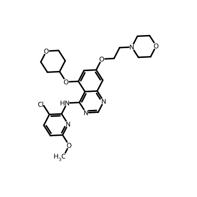 COc1ccc(Cl)c(Nc2ncnc3cc(OCCN4CCOCC4)cc(OC4CCOCC4)c23)n1